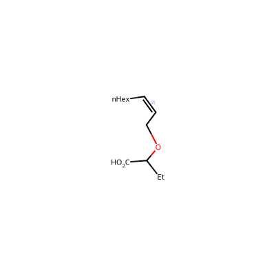 CCCCCC/C=C\COC(CC)C(=O)O